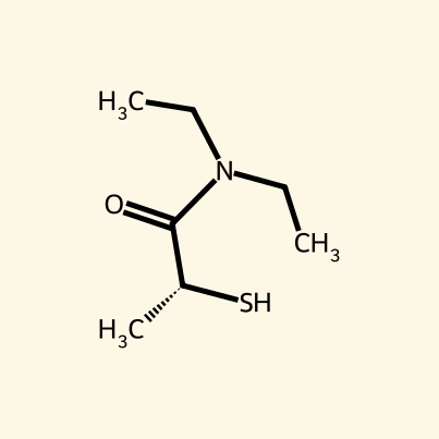 CCN(CC)C(=O)[C@@H](C)S